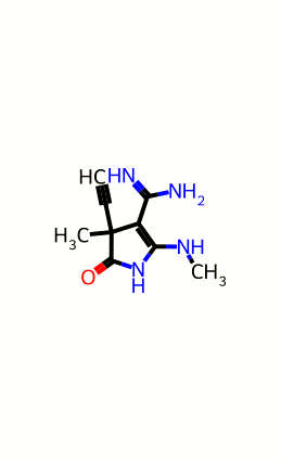 C#CC1(C)C(=O)NC(NC)=C1C(=N)N